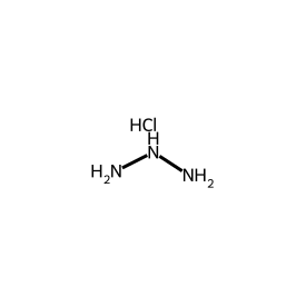 Cl.NNN